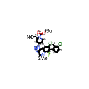 CSc1nc2c(F)c(-c3cccc(Cl)c3C)c(Cl)cc2c2c1nnn2[C@H]1CCN(C(=O)OC(C)(C)C)[C@H](CC#N)C1